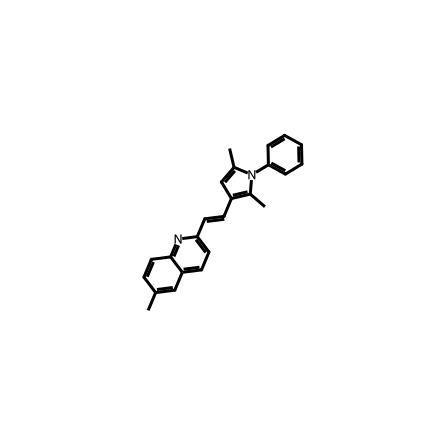 Cc1ccc2nc(/C=C/c3cc(C)n(-c4ccccc4)c3C)ccc2c1